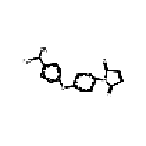 O=C1C=CC(=O)N1c1ccc(Oc2ccc(C(C(F)(F)F)C(F)(F)F)cc2)cc1